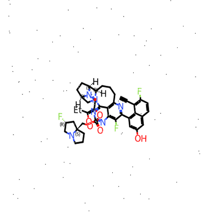 C#Cc1c(F)ccc2cc(O)cc(-c3nc4c5c(nc(OC[C@@]67CCCN6C[C@H](F)C7)nc5c3F)N3C[C@H]5CC[C@@H]([C@H]3CCC4)N5Cc3oc(=O)oc3CC)c12